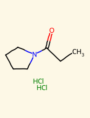 CCC(=O)N1CCCC1.Cl.Cl